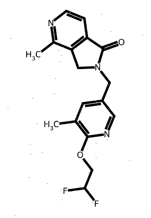 Cc1cc(CN2Cc3c(ccnc3C)C2=O)cnc1OCC(F)F